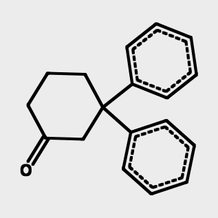 O=C1CCCC(c2ccccc2)(c2ccccc2)C1